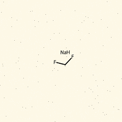 F[CH]F.[NaH]